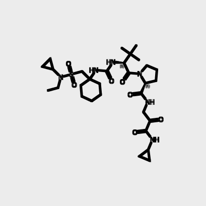 CCN(C1CC1)S(=O)(=O)CC1(NC(=O)N[C@H](C(=O)N2CCC[C@H]2C(=O)NCC(=O)C(=O)NC2CC2)C(C)(C)C)CCCCC1